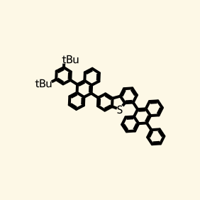 CC(C)(C)c1cc(-c2c3ccccc3c(-c3ccc4sc5c(-c6c7ccccc7c(-c7ccccc7)c7ccccc67)cccc5c4c3)c3ccccc23)cc(C(C)(C)C)c1